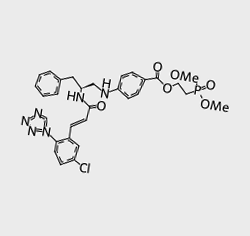 COP(=O)(CCOC(=O)c1ccc(NC[C@H](Cc2ccccc2)NC(=O)/C=C/c2cc(Cl)ccc2-n2cnnn2)cc1)OC